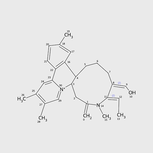 C=C1CC2C(CCCC(=C/O)/C(=C/C)N1C)c1cc(C)ccc1-c1cc(C)c(C)c[n+]12